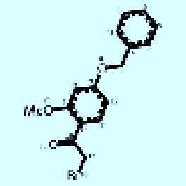 COc1cc(OCc2ccccc2)ccc1C(=O)CBr